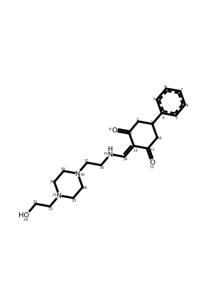 O=C1CC(c2ccccc2)CC(=O)C1=CNCCN1CCN(CCO)CC1